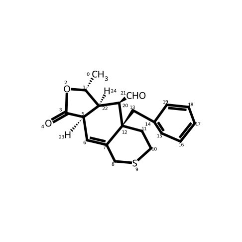 C[C@H]1OC(=O)[C@@H]2C=C3CSCC[C@@]3(Cc3ccccc3)[C@H](C=O)[C@H]12